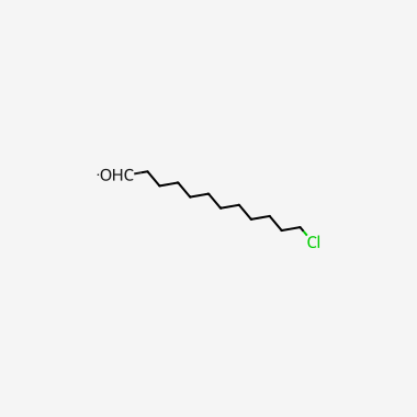 O=[C]CCCCCCCCCCCCl